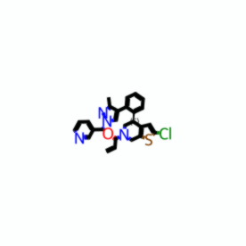 C=CC(=O)N1Cc2sc(Cl)cc2[C@H](c2ccccc2-c2cn(Cc3cccnc3)nc2C)C1